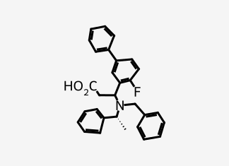 C[C@H](c1ccccc1)N(Cc1ccccc1)C(CC(=O)O)c1cc(-c2ccccc2)ccc1F